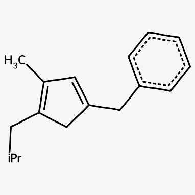 CC1=C(CC(C)C)CC(Cc2ccccc2)=C1